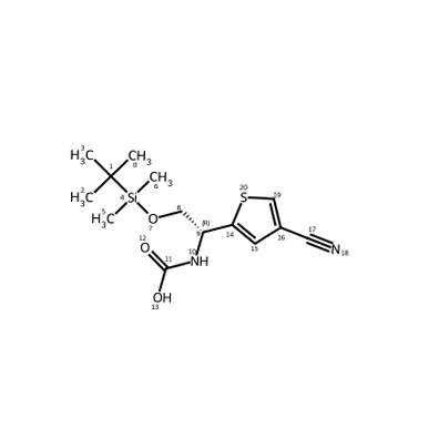 CC(C)(C)[Si](C)(C)OC[C@@H](NC(=O)O)c1cc(C#N)cs1